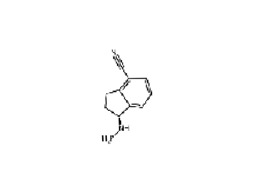 N#Cc1cccc2c1CC[C@@H]2NP